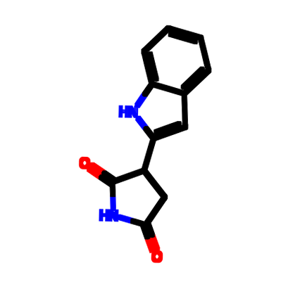 O=C1CC(c2cc3ccccc3[nH]2)C(=O)N1